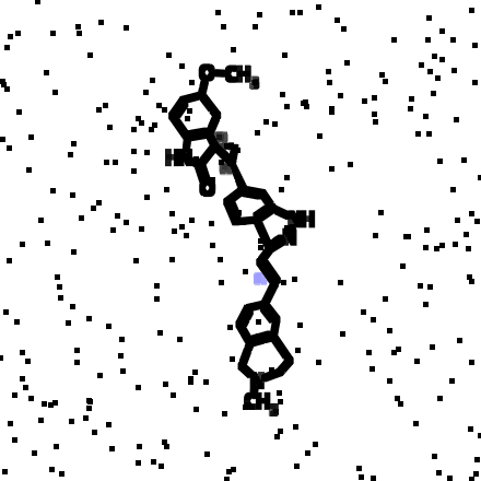 COC1C=CC2=C(C1)[C@]1(C[C@H]1c1ccc3c(/C=C/c4ccc5c(c4)CCN(C)C5)n[nH]c3c1)C(=O)N2